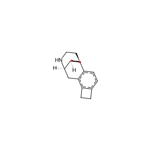 c1cc2c(c3c1CC3)C[C@H]1NCC[C@@]23CCCC[C@H]13